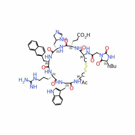 CCCC[C@@H]1NC(=O)N(CC(=O)N[C@H]2CSSC[C@@H](C(C)=O)NC(=O)[C@H](Cc3c[nH]c4ccccc34)NC(=O)[C@H](CCCNC(=N)N)NC(=O)[C@@H](Cc3ccc4ccccc4c3)NC(=O)[C@H](CC3CN=CN3)NC(=O)[C@H](CCC(=O)O)NC2=O)C1=O